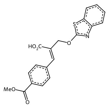 COC(=O)c1ccc(C=C(COc2nc3ccccc3s2)C(=O)O)cc1